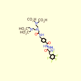 N[C@H](Cc1c(F)c(F)c(F)c(F)c1F)C(=O)NNC(=O)c1ccc(CNC(=O)CN(CCN(CC(=O)O)CC(=O)O)CCN(CC(=O)O)CC(=O)O)cc1